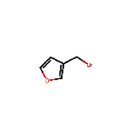 BrCc1ccoc1